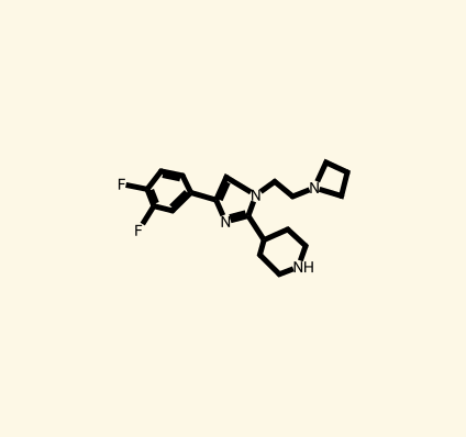 Fc1ccc(-c2cn(CCN3CCC3)c(C3CCNCC3)n2)cc1F